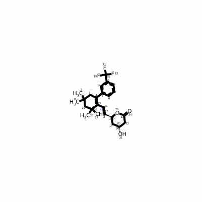 CC1(C)CC(c2cccc(C(F)(F)F)c2)=C(/C=C/[C@@H]2C[C@@H](O)CC(=O)O2)C(C)(C)C1